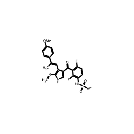 C=Nc1[nH]cc(C(=O)c2c(F)ccc(NS(=O)(=O)CCC)c2F)c1/C=C(\C)c1ccc(OC)cc1